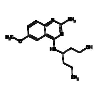 CCCC(CCO)Nc1nc(N)nc2ccc(OC)cc12